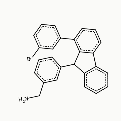 NCc1cccc(C2c3ccccc3-c3cccc(-c4cccc(Br)c4)c32)c1